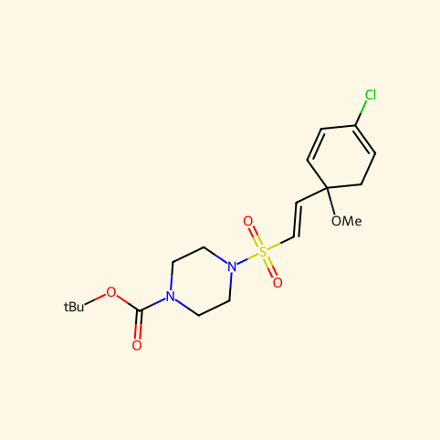 COC1(/C=C/S(=O)(=O)N2CCN(C(=O)OC(C)(C)C)CC2)C=CC(Cl)=CC1